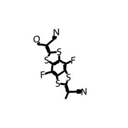 CC(C#N)=C1Sc2c(F)c3c(c(F)c2S1)SC(=C(C#N)C=O)S3